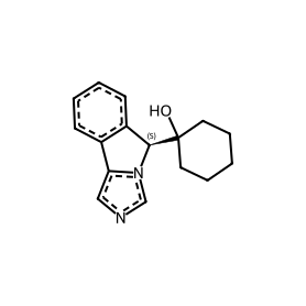 OC1([C@@H]2c3ccccc3-c3cncn32)CCCCC1